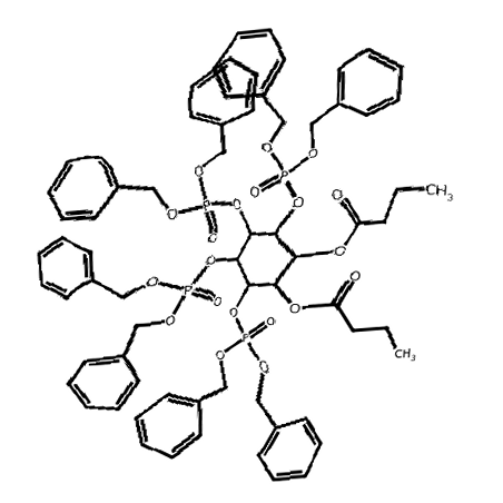 CCCC(=O)OC1C(OC(=O)CCC)C(OP(=O)(OCc2ccccc2)OCc2ccccc2)C(OP(=O)(OCc2ccccc2)OCc2ccccc2)C(OP(=O)(OCc2ccccc2)OCc2ccccc2)C1OP(=O)(OCc1ccccc1)OCc1ccccc1